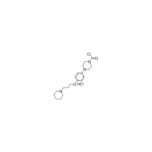 Cl.O=C(Cl)N1CCN(c2ccc(OCCCN3CCCCC3)cc2)CC1